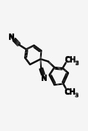 Cc1ccc(CC2(C#N)C=CC(C#N)=CC2)c(C)c1